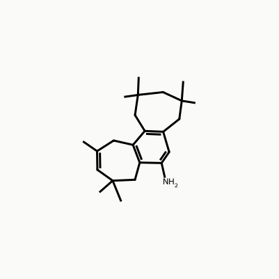 CC1=CC(C)(C)Cc2c(N)cc3c(c2C1)CC(C)(C)CC(C)(C)C3